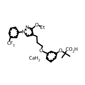 CCOc1nn(-c2cccc(C(F)(F)F)c2)cc1CCCOc1cccc(OC(C)(C)C(=O)O)c1.[CaH2]